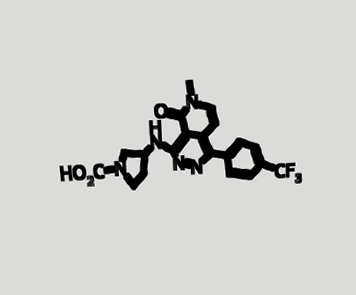 Cn1ccc2c(-c3ccc(C(F)(F)F)cc3)nnc(NC3CCN(C(=O)O)C3)c2c1=O